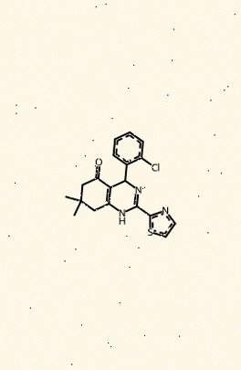 CC1(C)CC(=O)C2=C(C1)NC(c1nccs1)=NC2c1ccccc1Cl